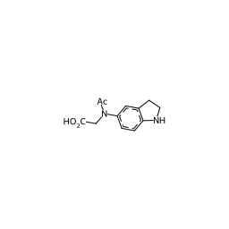 CC(=O)N(CC(=O)O)c1ccc2c(c1)CCN2